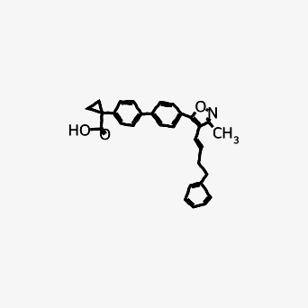 Cc1noc(-c2ccc(-c3ccc(C4(C(=O)O)CC4)cc3)cc2)c1/C=C/CCc1ccccc1